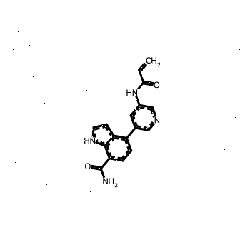 C=CC(=O)Nc1cncc(-c2ccc(C(N)=O)c3[nH]ccc23)c1